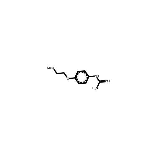 COCCOc1ccc(NC(=N)N)cc1